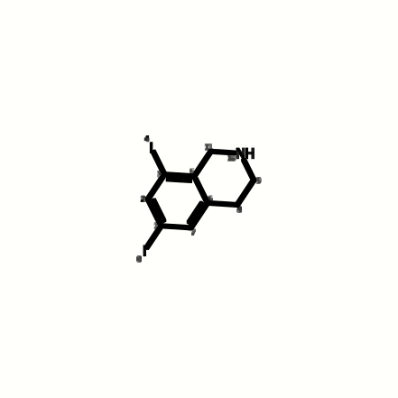 Ic1cc(I)c2c(c1)CCNC2